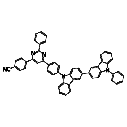 N#Cc1ccc(-c2cc(-c3ccc(-n4c5ccccc5c5cc(-c6ccc7c(c6)c6ccccc6n7-c6ccccc6)ccc54)cc3)nc(-c3ccccc3)n2)cc1